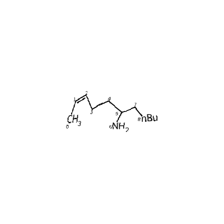 C/C=C\CCC(N)CCCCC